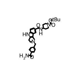 CC(C)(C)OC(=O)N1CCC(NC(=O)c2ccc3[nH]c4c(c3c2)CN(Cc2ccc(C(N)=O)cc2)CC4)CC1